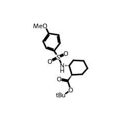 COc1ccc(S(=O)(=O)N[C@@H]2CCCC[C@H]2C(=O)OC(C)(C)C)cc1